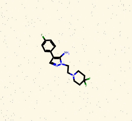 Nc1c(-c2ccc(F)cc2)cnn1CCN1CCC(F)(F)CC1